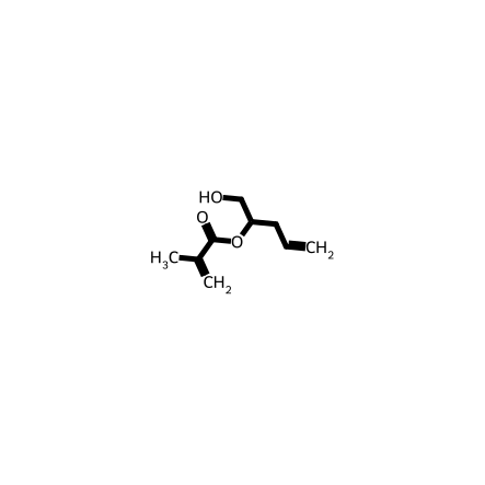 C=CCC(CO)OC(=O)C(=C)C